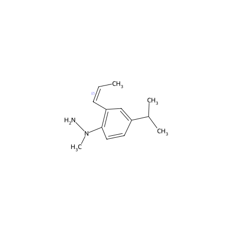 C/C=C\c1cc(C(C)C)ccc1N(C)N